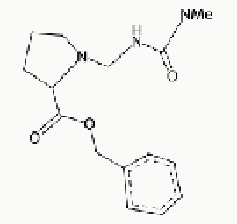 CNC(=O)NCN1CCCC1C(=O)OCc1ccccc1